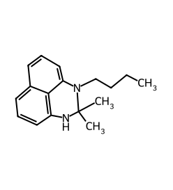 CCCCN1c2cccc3cccc(c23)NC1(C)C